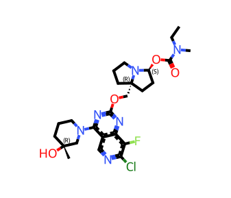 CCN(C)C(=O)O[C@H]1CC[C@@]2(COc3nc(N4CCC[C@@](C)(O)C4)c4cnc(Cl)c(F)c4n3)CCCN12